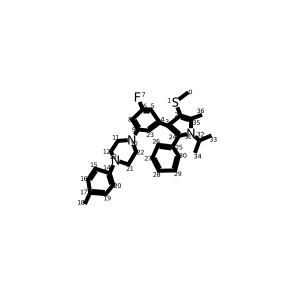 CSc1c(-c2cc(F)cc(N3CCN(c4ccc(C)cc4)CC3)c2)c(-c2ccccc2)n(C(C)C)c1C